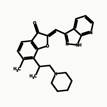 Cc1ccc2c(c1C(C)CN1CCCCC1)O/C(=C\c1n[nH]c3ncccc13)C2=O